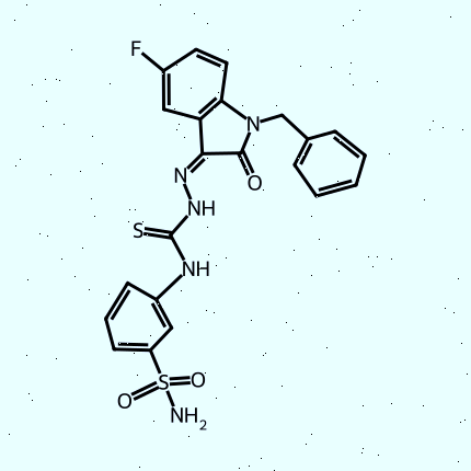 NS(=O)(=O)c1cccc(NC(=S)NN=C2C(=O)N(Cc3ccccc3)c3ccc(F)cc32)c1